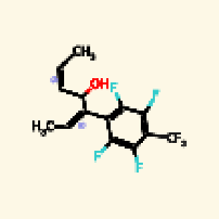 C/C=C\C(O)/C(=C\C)c1c(F)c(F)c(C(F)(F)F)c(F)c1F